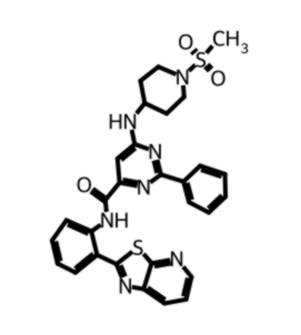 CS(=O)(=O)N1CCC(Nc2cc(C(=O)Nc3ccccc3-c3nc4cccnc4s3)nc(-c3ccccc3)n2)CC1